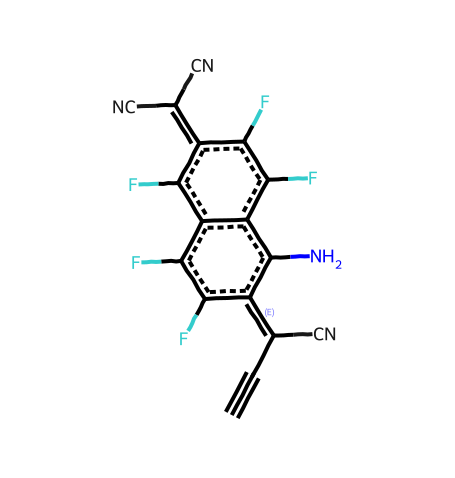 C#C/C(C#N)=c1\c(F)c(F)c2c(F)c(=C(C#N)C#N)c(F)c(F)c2c1N